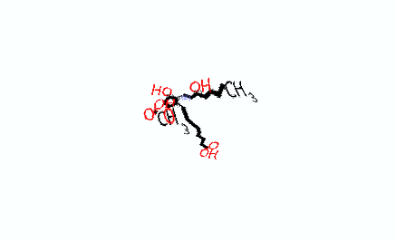 CC(=O)O.CCCCC[C@H](O)/C=C/[C@H]1[C@H](O)CC(=O)[C@@H]1CCCCCCC(=O)O